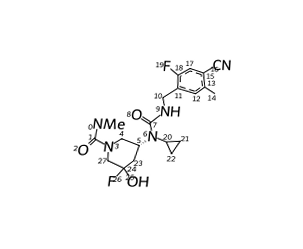 CNC(=O)N1C[C@H](N(C(=O)NCc2cc(C)c(C#N)cc2F)C2CC2)CC(O)(F)C1